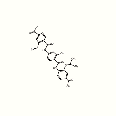 COc1cc([N+](=O)[O-])ccc1C(=O)Nc1ccc(C(=O)Nc2ccc(C(=O)O)cc2OC(C)C)c(O)c1